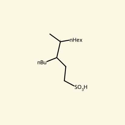 CCCCCC[C](C)C(CCCC)CCS(=O)(=O)O